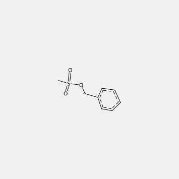 CS(=O)(=O)O[CH]c1ccccc1